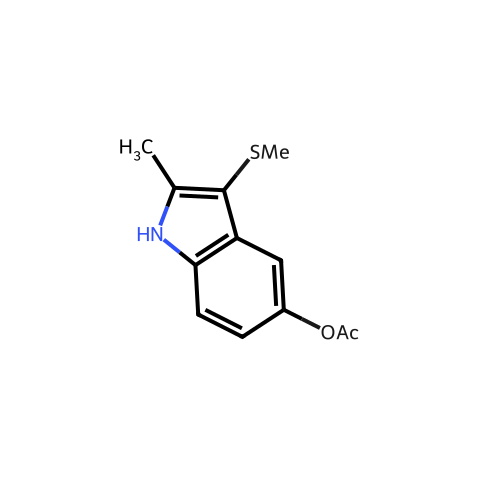 CSc1c(C)[nH]c2ccc(OC(C)=O)cc12